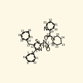 O=C(Nc1nc(-c2ccccc2)c(Cc2ccccc2)s1)[C@H]1CCCCN1C(=O)c1ccccn1